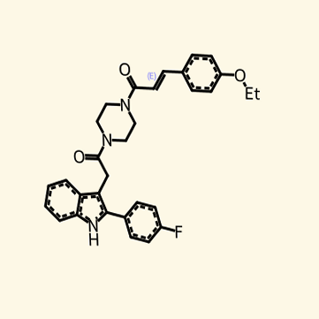 CCOc1ccc(/C=C/C(=O)N2CCN(C(=O)Cc3c(-c4ccc(F)cc4)[nH]c4ccccc34)CC2)cc1